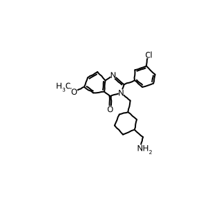 COc1ccc2nc(-c3cccc(Cl)c3)n(CC3CCCC(CN)C3)c(=O)c2c1